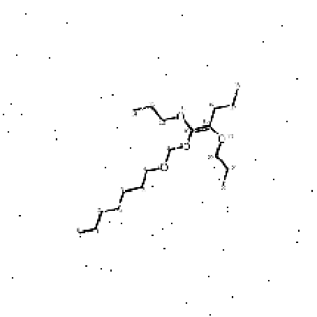 CCCCCCCOCO/C(OCCC)=C(/CCC)OCCC